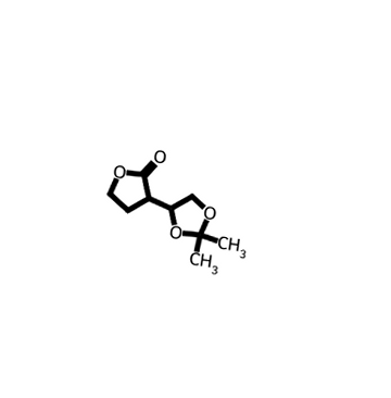 CC1(C)OCC(C2CCOC2=O)O1